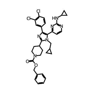 O=C(OCc1ccccc1)N1CCC(c2nc(-c3ccc(Cl)c(Cl)c3)c(-c3ccnc(NC4CC4)n3)n2CC2CC2)CC1